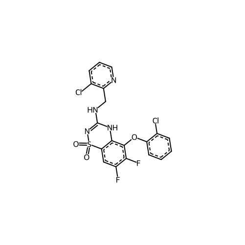 O=S1(=O)N=C(NCc2ncccc2Cl)Nc2c1cc(F)c(F)c2Oc1ccccc1Cl